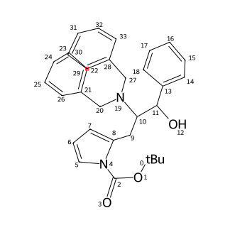 CC(C)(C)OC(=O)n1cccc1CC(C(O)c1ccccc1)N(Cc1ccccc1)Cc1ccccc1